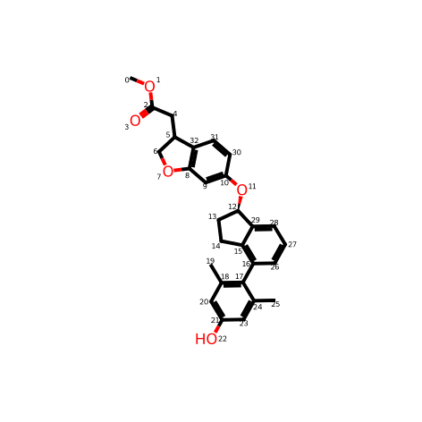 COC(=O)CC1COc2cc(O[C@@H]3CCc4c(-c5c(C)cc(O)cc5C)cccc43)ccc21